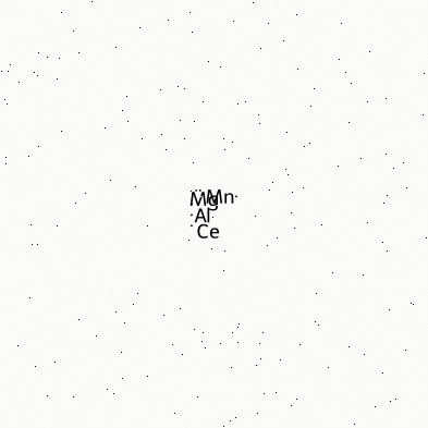 [Al].[Ce].[Mg].[Mn]